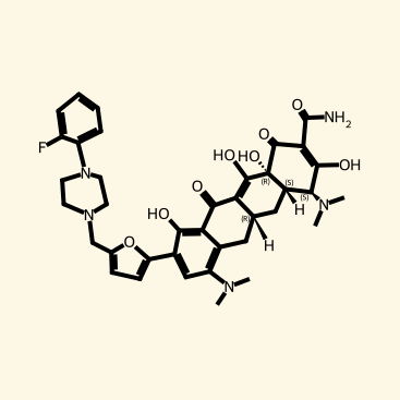 CN(C)c1cc(-c2ccc(CN3CCN(c4ccccc4F)CC3)o2)c(O)c2c1C[C@H]1C[C@H]3[C@H](N(C)C)C(O)=C(C(N)=O)C(=O)[C@]3(O)C(O)=C1C2=O